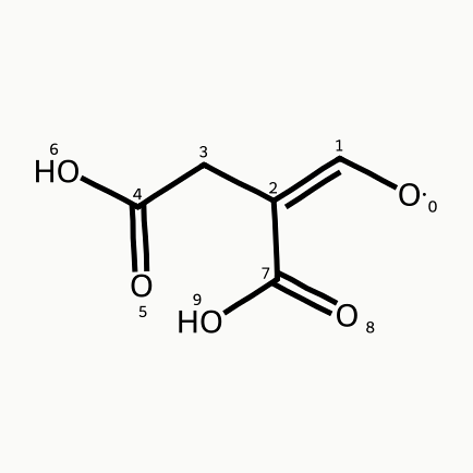 [O]C=C(CC(=O)O)C(=O)O